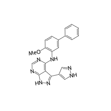 COc1ccc(-c2ccccc2)cc1Nc1ncnc2[nH]nc(-c3cn[nH]c3)c12